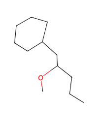 CCCC(CC1CCCCC1)OC